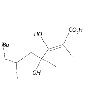 CCC(C)CC(C)CC(C)(O)C(O)=C(C)C(=O)O